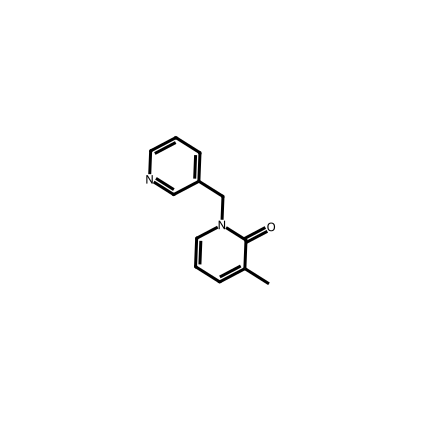 Cc1cccn(Cc2cccnc2)c1=O